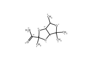 CC1OC(C)(C)C2OC(C)(C(N)=O)OC12